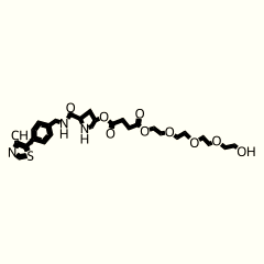 Cc1ncsc1-c1ccc(CNC(=O)C2CC(OC(=O)CCC(=O)OCCOCCOCCOCCO)CN2)cc1